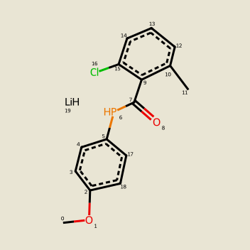 COc1ccc(PC(=O)c2c(C)cccc2Cl)cc1.[LiH]